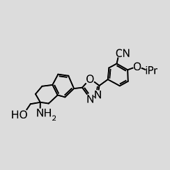 CC(C)Oc1ccc(-c2nnc(-c3ccc4c(c3)CC(N)(CO)CC4)o2)cc1C#N